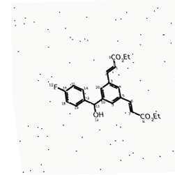 CCOC(=O)C=Cc1cc(C=CC(=O)OCC)cc(C(O)c2ccc(F)cc2)c1